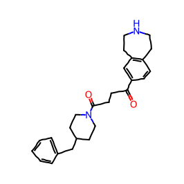 O=C(CCC(=O)N1CCC(Cc2ccccc2)CC1)c1ccc2c(c1)CCNCC2